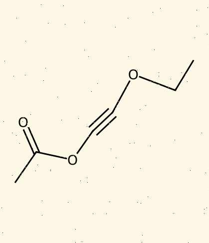 CCOC#COC(C)=O